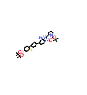 CC(C)(C)OC(=O)N1CCCC1c1nc2ccc(-c3ccc4c(c3)sc3cc(B5OC(C)(C)C(C)(C)O5)ccc34)cc2[nH]1